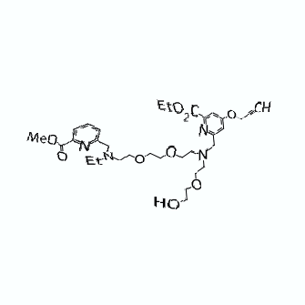 C#CCOc1cc(CN(CCOCCO)CCOCCOCCN(CC)Cc2cccc(C(=O)OC)n2)nc(C(=O)OCC)c1